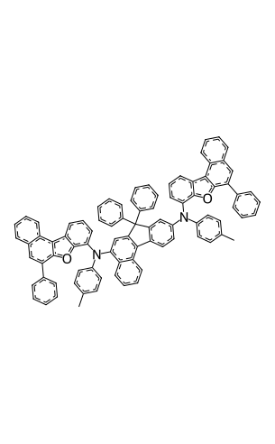 Cc1ccc(N(c2ccc3c(c2)C(c2ccccc2)(c2ccccc2)c2cc(N(c4ccc(C)cc4)c4cccc5c4oc4c(-c6ccccc6)cc6ccccc6c45)c4ccccc4c2-3)c2cccc3c2oc2c(-c4ccccc4)cc4ccccc4c23)cc1